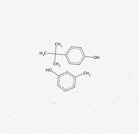 CC(C)(C)c1ccc(O)cc1.Cc1cccc(O)c1